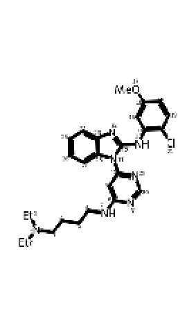 CCN(CC)CCCCNc1cc(-n2c(Nc3cc(OC)ccc3Cl)nc3ccccc32)ncn1